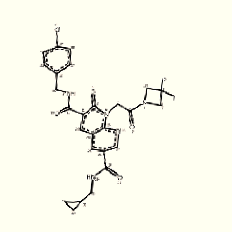 CC1(C)CN(C(=O)Cn2c(=O)c(C(=O)NCc3ccc(Cl)cc3)cc3cc(C(=O)NCC4CC4)cnc32)C1